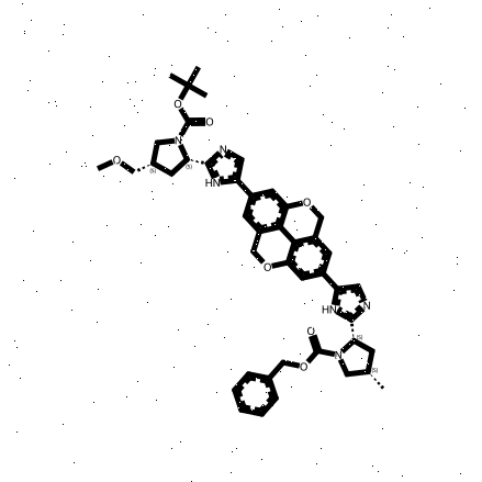 COC[C@H]1C[C@@H](c2ncc(-c3cc4c5c(c3)OCc3cc(-c6cnc([C@@H]7C[C@H](C)CN7C(=O)OCc7ccccc7)[nH]6)cc(c3-5)OC4)[nH]2)N(C(=O)OC(C)(C)C)C1